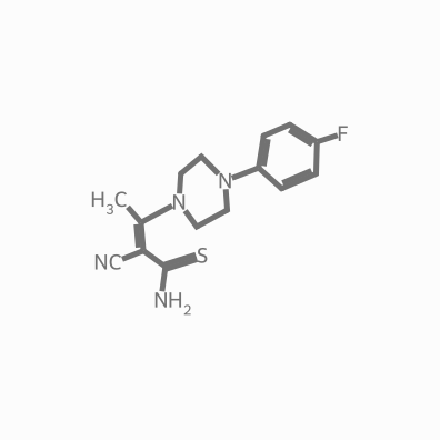 CC(=C(C#N)C(N)=S)N1CCN(c2ccc(F)cc2)CC1